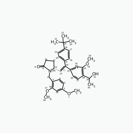 COc1ccc(CN2C(=O)CC[C@@H]2/C=C(\c2ccc(C(C)(C)C)cc2)c2ccc(C(C)O)c(OC)n2)c(OC)c1